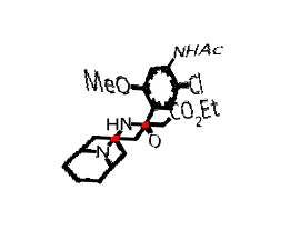 CCOC(=O)CCCCN1C2CCCC1CC(NC(=O)c1cc(Cl)c(NC(C)=O)cc1OC)C2